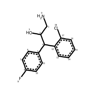 NCC(O)C(c1ccc(F)cc1)c1ccccc1Cl